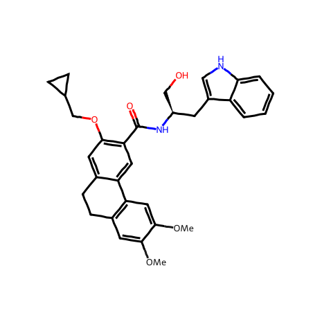 COc1cc2c(cc1OC)-c1cc(C(=O)N[C@@H](CO)Cc3c[nH]c4ccccc34)c(OCC3CC3)cc1CC2